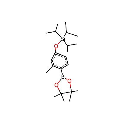 Cc1cc(O[Si](C(C)C)(C(C)C)C(C)C)ccc1B1OC(C)(C)C(C)(C)O1